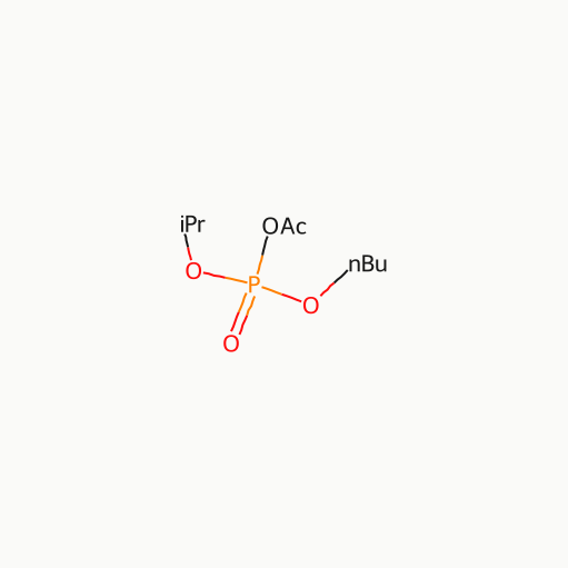 CCCCOP(=O)(OC(C)=O)OC(C)C